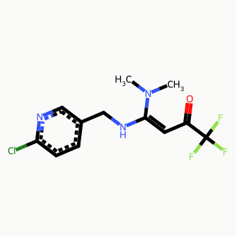 CN(C)C(=CC(=O)C(F)(F)F)NCc1ccc(Cl)nc1